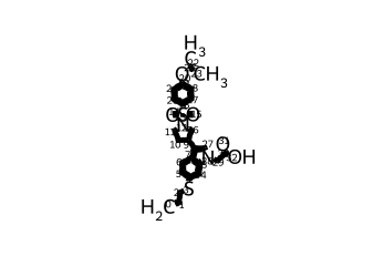 C=CCSc1ccc2c(C3CCN(S(=O)(=O)c4ccc(OC(C)C)cc4)C3)cn(CC(=O)O)c2c1